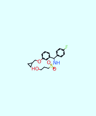 O=S(=O)(CCCO)N[C@H](c1ccc(F)cc1)c1cccc(OCC2CC2)c1